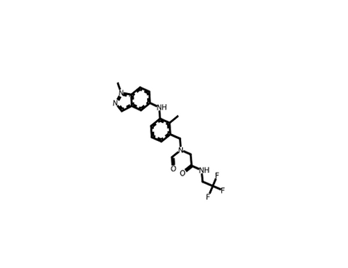 Cc1c(CN(C=O)CC(=O)NCC(F)(F)F)cccc1Nc1ccc2c(cnn2C)c1